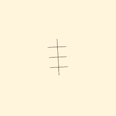 FC(F)(F)C(F)(F)C(Br)(Br)C(Br)(Br)I